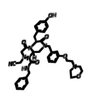 N#CCN1CC(=O)N2[C@@H](Cc3ccc(O)cc3)C(=O)N(Cc3cccc(OCCN4CCOCC4)c3)C[C@@H]2N1C(=O)NCc1ccccc1